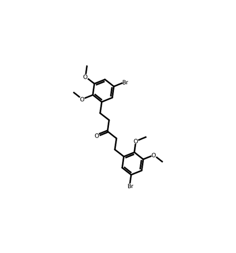 COc1cc(Br)cc(CCC(=O)CCc2cc(Br)cc(OC)c2OC)c1OC